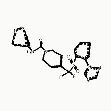 O=C(Nc1ccnnc1)N1CCC(C(F)(F)S(=O)(=O)c2ccccc2-n2cncn2)CC1